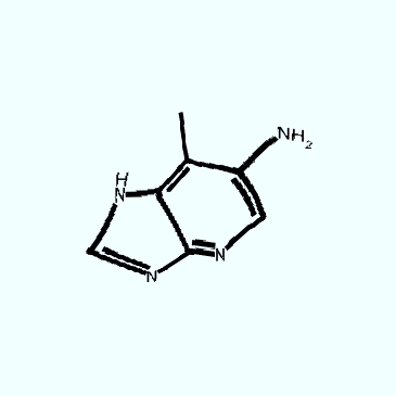 Cc1c(N)cnc2nc[nH]c12